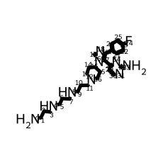 NCCCNCCCNCCCN1CCC(n2cnc(-c3ccc(F)cc3)c2-c2ccnc(N)n2)CC1